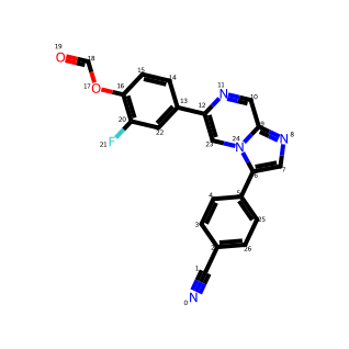 N#Cc1ccc(-c2cnc3cnc(-c4ccc(OC=O)c(F)c4)cn23)cc1